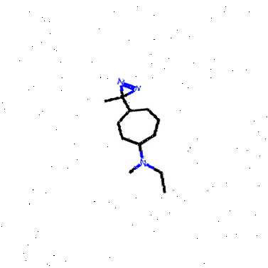 CCN(C)C1CCCC(C2(C)N=N2)CC1